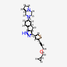 C(#Cc1cc(-c2n[nH]c3c2Cc2cc(N4CCN5CCC=C5C4)ccc2-3)cs1)COCC1CC1